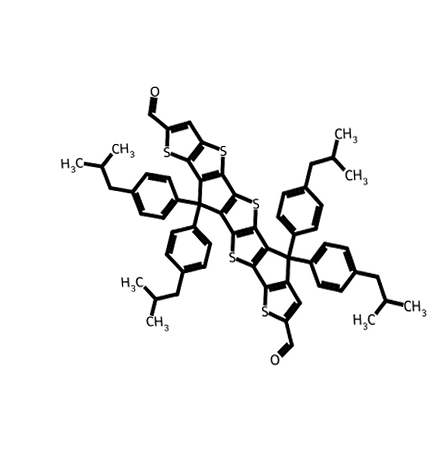 CC(C)Cc1ccc(C2(c3ccc(CC(C)C)cc3)c3cc(C=O)sc3-c3sc4c5c(sc4c32)-c2sc3cc(C=O)sc3c2C5(c2ccc(CC(C)C)cc2)c2ccc(CC(C)C)cc2)cc1